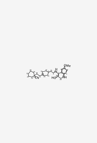 COc1ccc2c(c1)C(NCCC1CCN(CCC3(C#N)CCCCC3)CC1)=C(O)CN2